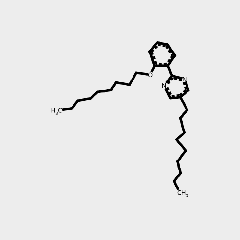 CCCCCCCCCOc1ccccc1-c1ncc(CCCCCCCCC)cn1